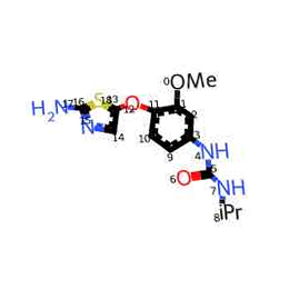 COc1cc(NC(=O)NC(C)C)ccc1Oc1cnc(N)s1